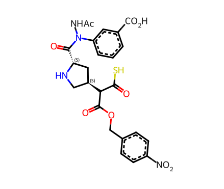 CC(=O)NN(C(=O)[C@@H]1C[C@@H](C(C(=O)S)C(=O)OCc2ccc([N+](=O)[O-])cc2)CN1)c1cccc(C(=O)O)c1